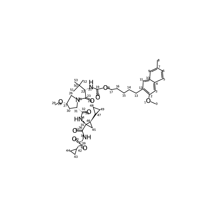 COc1cc2ccc(C)cc2cc1CCCCCOC(=O)N[C@H](C(=O)N1C[C@@H](OC)C[C@H]1C(=O)N[C@]1(C(=O)NS(=O)(=O)C2CC2)C[C@@H]1C1CC1)C(C)(C)C